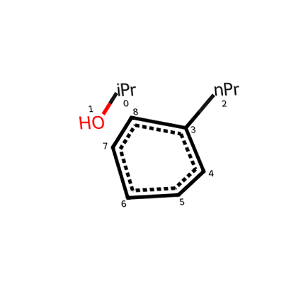 CC(C)O.CCCc1ccccc1